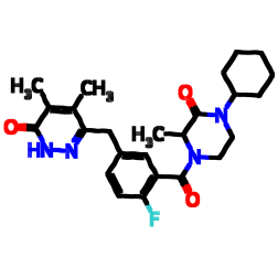 Cc1c(Cc2ccc(F)c(C(=O)N3CCN(C4CCCCC4)C(=O)C3C)c2)n[nH]c(=O)c1C